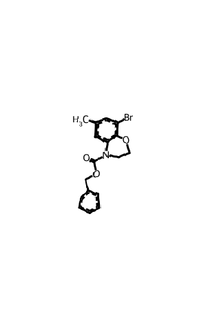 Cc1cc(Br)c2c(c1)N(C(=O)OCc1ccccc1)CCO2